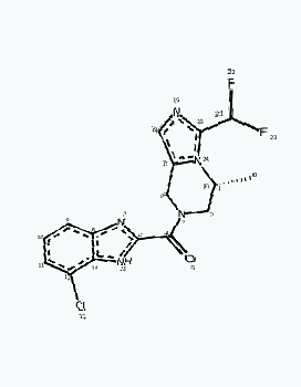 C[C@@H]1CN(C(=O)c2nc3cccc(Cl)c3[nH]2)Cc2cnc(C(F)F)n21